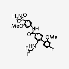 COc1cc(F)ccc1-c1ccc(C(=O)Nc2ccc(S(N)(=O)=O)c(OC)c2)cc1CNCC(F)F